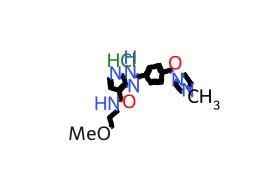 COCCCNC(=O)c1ccnc2[nH]c(-c3ccc(C(=O)N4CCN(C)CC4)cc3)nc12.Cl